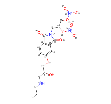 CCCNCC(O)COc1ccc2c(c1)C(=O)N(CC(CO[N+](=O)[O-])O[N+](=O)[O-])C2=O